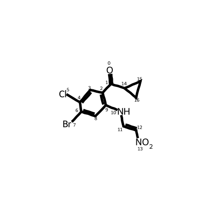 O=C(c1cc(Cl)c(Br)cc1NC=C[N+](=O)[O-])C1CC1